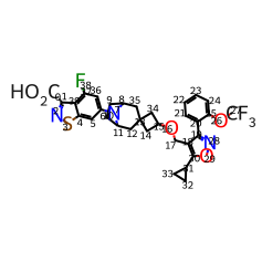 O=C(O)c1nsc2cc(N3C4CCC3CC3(CC(OCc5c(-c6ccccc6OC(F)(F)F)noc5C5CC5)C3)C4)cc(F)c12